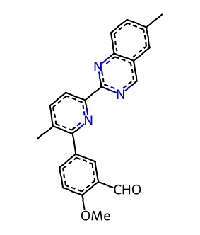 COc1ccc(-c2nc(-c3ncc4cc(C)ccc4n3)ccc2C)cc1C=O